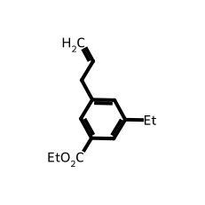 C=CCc1cc(CC)cc(C(=O)OCC)c1